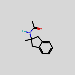 CC(=O)N(F)C1(C)Cc2ccccc2C1